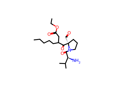 CCCCCC(CC(=O)OCC)C(=O)[C@@]1(C=O)CCCN1C(=O)[C@@H](N)C(C)C